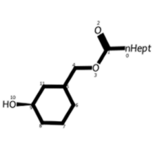 CCCCCCCC(=O)OCC1CCC[C@@H](O)C1